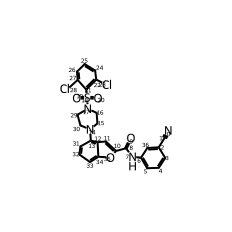 N#Cc1cccc(NC(=O)c2cc3c(N4CCN(S(=O)(=O)c5c(Cl)cccc5Cl)CC4)cccc3o2)c1